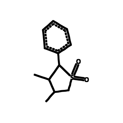 CC1CS(=O)(=O)C(c2ccccc2)C1C